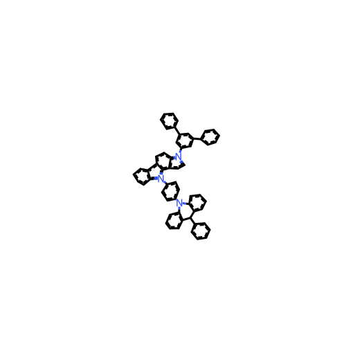 c1ccc(-c2cc(-c3ccccc3)cc(-n3ccc4c3ccc3c5ccccc5n(-c5ccc(N6c7ccccc7C(c7ccccc7)c7ccccc76)cc5)c34)c2)cc1